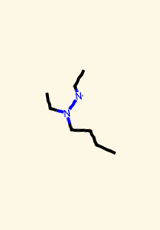 CCCCN(CC)[N]CC